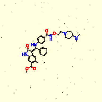 COC(=O)c1cc2c(cc1C)/C(=C(/Nc1ccc(C(=O)NOCCN3CCC(N(C)C)CC3)cc1)c1ccccc1)C(=O)N2